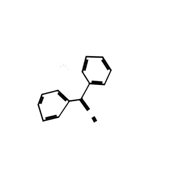 O=C=C(c1ccccc1)c1ccccc1.[SiH4]